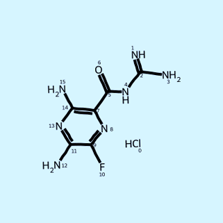 Cl.N=C(N)NC(=O)c1nc(F)c(N)nc1N